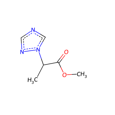 COC(=O)C(C)n1cncn1